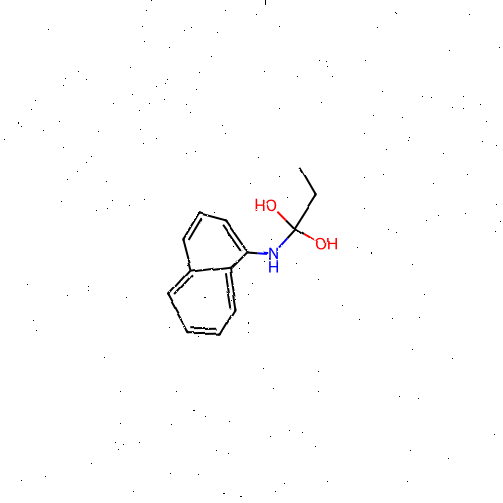 CCC(O)(O)Nc1cccc2ccccc12